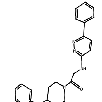 O=C(CNc1ccc(-c2ccccc2)nn1)N1CCC(Cc2ccccc2)CC1